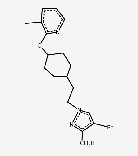 Cc1cccnc1OC1CCC(CCn2cc(Br)c(C(=O)O)n2)CC1